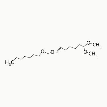 CCCCCCCOCOC=CCCCCC(OC)OC